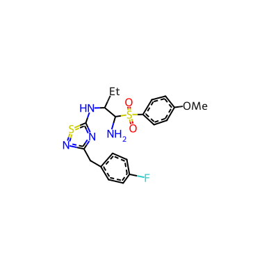 CCC(Nc1nc(Cc2ccc(F)cc2)ns1)C(N)S(=O)(=O)c1ccc(OC)cc1